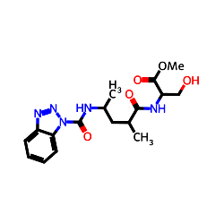 COC(=O)C(CO)NC(=O)C(C)CC(C)NC(=O)n1nnc2ccccc21